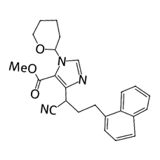 COC(=O)c1c(C(C#N)CCc2cccc3ccccc23)ncn1C1CCCCO1